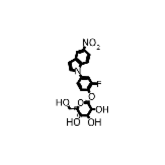 O=[N+]([O-])c1ccc2c(ccn2-c2ccc(O[C@H]3O[C@H](CO)[C@@H](O)C(O)C3O)c(F)c2)c1